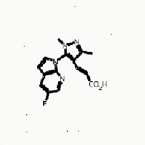 Cc1nn(C)c(-n2ccc3cc(F)cnc32)c1C=CC(=O)O